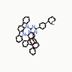 c1ccc(-c2ccc(-c3nc(-c4ccc(-c5ccccc5)cc4)nc(-n4c5ccccc5c5ccc6c7ccccc7n(-c7cccc8c9ccccc9c9ccccc9c78)c6c54)n3)cc2)cc1